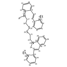 CC[n+]1ccccc1/C=C/c1ccccc1N(C)CCSSCCN(C)c1ccccc1/C=C/c1cccc[n+]1CC